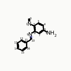 C=Nc1ccc(N)cc1/N=C/c1ccccc1